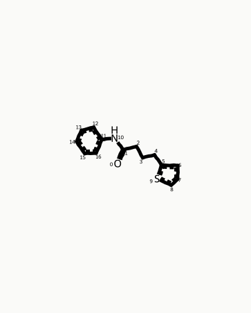 O=C(CCCc1cccs1)Nc1ccccc1